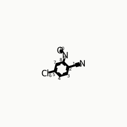 N#Cc1ccc(Cl)cc1N=O